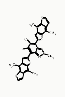 Cc1c2cc(-c3c(F)c(Cl)c(-c4cc5c(C)c6sccc6c(C)c5s4)c4nn(C)nc34)sc2c(C)c2ccsc12